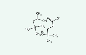 CC(C)(C)CCC(=O)[O-].CC(O)C[N+](C)(C)C